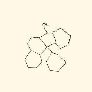 CCC1CCC2CCCCC2C1(C1CCCCC1)C1CCCCC1